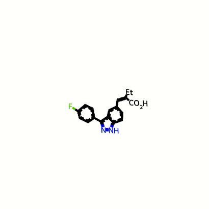 CCC(=Cc1ccc2[nH]nc(-c3ccc(F)cc3)c2c1)C(=O)O